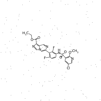 CCOC(=O)c1ncn2cc(-c3c(F)ccc(NS(=O)(=O)c4cc(Cl)cnc4OC)c3F)ncc12